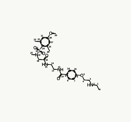 CCNCCOc1ccc(C(=O)NCCNC(=O)CN(C)S(=O)(=O)c2c(C)cc(OC)cc2C)cc1